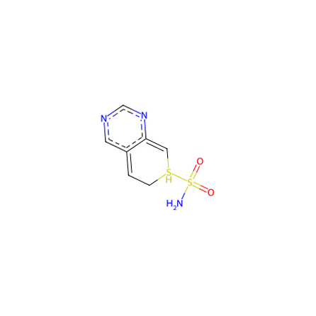 NS(=O)(=O)[SH]1C=c2ncncc2=CC1